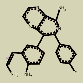 N/C=C\c1cc(-c2c(-c3ccc(F)cc3)nc(N)c3nccnc23)ccc1N